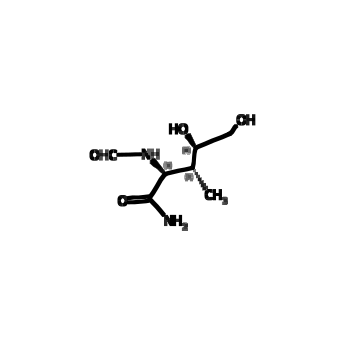 C[C@H]([C@H](NC=O)C(N)=O)[C@@H](O)CO